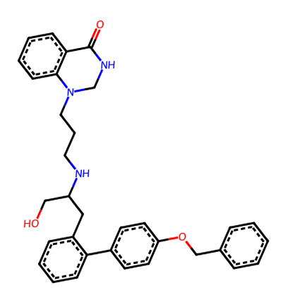 O=C1NCN(CCCNC(CO)Cc2ccccc2-c2ccc(OCc3ccccc3)cc2)c2ccccc21